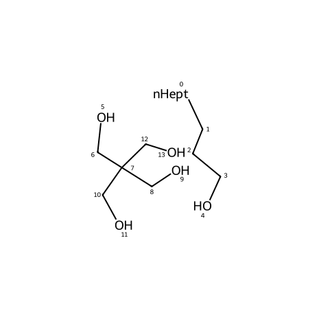 CCCCCCCCCCO.OCC(CO)(CO)CO